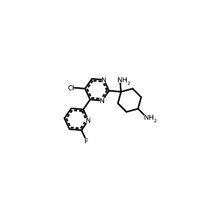 NC1CCC(N)(c2ncc(Cl)c(-c3cccc(F)n3)n2)CC1